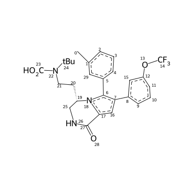 Cc1cccc(-c2c(-c3cccc(OC(F)(F)F)c3)cc3n2[C@@H](CCN(C(=O)O)C(C)(C)C)CNC3=O)c1